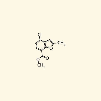 COC(=O)c1ccc(Cl)c2cc(C)oc12